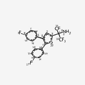 NC(c1cc(-c2ccc(F)cc2)c(-c2ccc(F)cc2)s1)(C(F)(F)F)C(F)(F)F